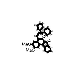 COc1cc2c3c(c4c(c2cc1OC)-c1ccccc1C4=O)OC(c1ccccc1)(c1ccccc1)C=C3